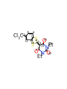 CCN1C(=O)C(=C2Sc3ccc(C(Cl)(Cl)Cl)cc3S2)C(=O)N(CC)C1=O